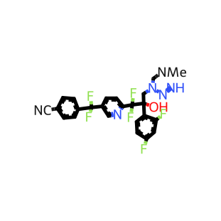 CNCN(CC(O)(c1ccc(F)cc1F)C(F)(F)c1ccc(C(F)(F)c2ccc(C#N)cc2)cn1)N=N